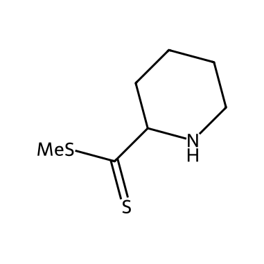 CSC(=S)C1CCCCN1